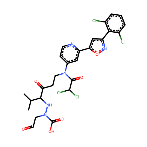 CC(C)C(NN(CC=O)C(=O)O)C(=O)CCN(C(=O)C(Cl)Cl)c1ccnc(-c2cc(-c3c(Cl)cccc3Cl)no2)c1